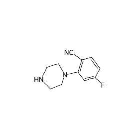 N#Cc1ccc(F)cc1N1CCNCC1